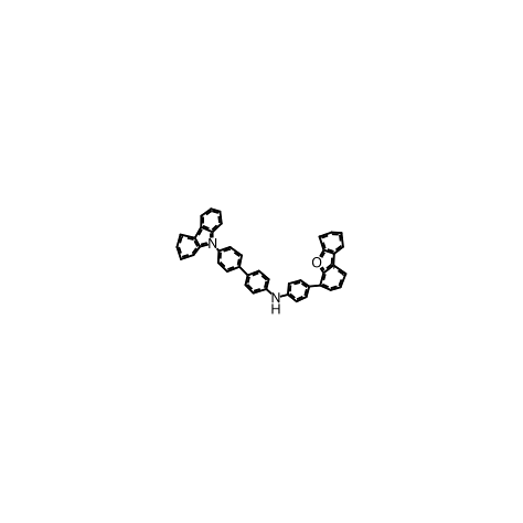 c1ccc2c(c1)oc1c(-c3ccc(Nc4ccc(-c5ccc(-n6c7ccccc7c7ccccc76)cc5)cc4)cc3)cccc12